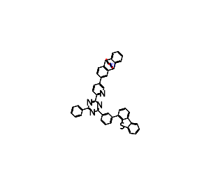 C1=C/C=C/C2c3ccccc3C=1c1ccc(-c3ccc(-c4nc(-c5ccccc5)nc(-c5cccc(-c6cccc7c6sc6ccccc67)c5)n4)nc3)cc12